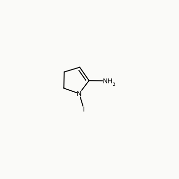 NC1=CCCN1I